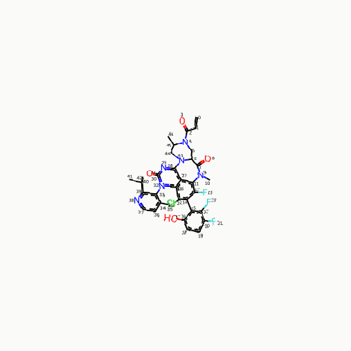 C=CC(=O)N1CC2C(=O)N(C)c3c(F)c(-c4c(O)ccc(F)c4F)c(Cl)c4c3c(nc(=O)n4-c3c(C)ccnc3C(C)C)N2CC1C